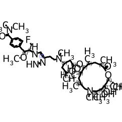 CC[C@H]1OC(=O)[C@H](C)C[C@H](C)[C@@H](O[C@H]2C[C@@H](N(C)CC/C(=C/N[C@H](CF)[C@H](OC)c3ccc(C(=O)N(C)C)cc3)N=N)C[C@@H](C)O2)[C@](C)(O)C[C@@H](C)CN(C)[C@H](C)[C@@H](O)[C@]1(C)O